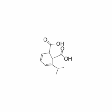 CC(C)C1=CC=CC(C(=O)O)C1C(=O)O